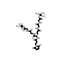 CC(C)(C)OC(=O)CNC(=O)CNC(=O)CC[C@H](NC(=O)CCN1C(=O)C=CC1=O)C(=O)NCC(=O)NCC(=O)OC(C)(C)C